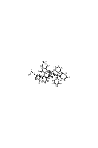 Cc1nc(C2CC2)n(Cc2c3ccocc-3c(Br)c2-c2ccccc2-c2nnn(C(c3ccccc3)(c3ccccc3)c3ccccc3)n2)c1C=O